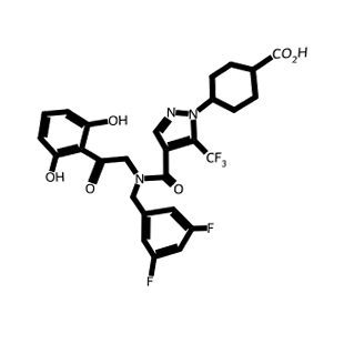 O=C(CN(Cc1cc(F)cc(F)c1)C(=O)c1cnn(C2CCC(C(=O)O)CC2)c1C(F)(F)F)c1c(O)cccc1O